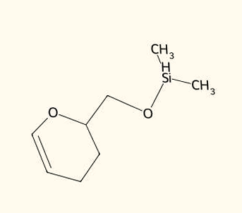 C[SiH](C)OCC1CCC=CO1